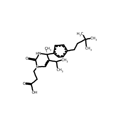 CC(C)C1=CN(CCC(=O)O)C(=O)N[C@@]1(C)c1ccc(CCC(C)(C)C)cc1